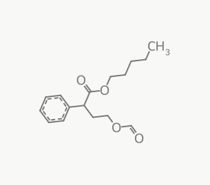 CCCCCOC(=O)C(CCOC=O)c1ccccc1